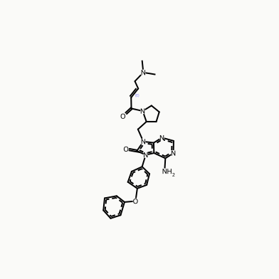 CN(C)C/C=C/C(=O)N1CCCC1Cn1c(=O)n(-c2ccc(Oc3ccccc3)cc2)c2c(N)ncnc21